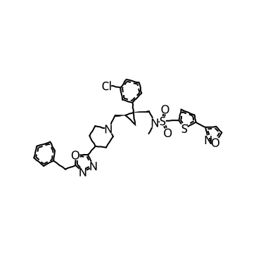 CN(C[C@@]1(c2cccc(Cl)c2)C[C@H]1CN1CCC(c2nnc(Cc3ccccc3)o2)CC1)S(=O)(=O)c1ccc(-c2ccon2)s1